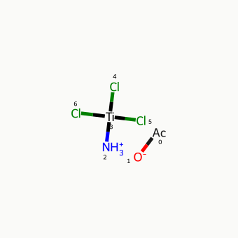 CC(=O)[O-].[NH3+][Ti]([Cl])([Cl])[Cl]